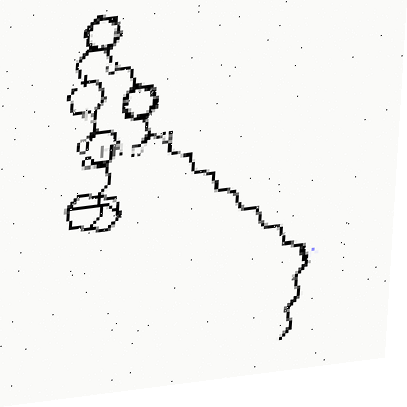 CCCCC/C=C\CCCCCCCCCCCOC(=O)c1ccc(COc2ccccc2CN2CCN(C(=O)CNC(=O)CC34CC5CC(CC(C5)C3)C4)CC2)cc1